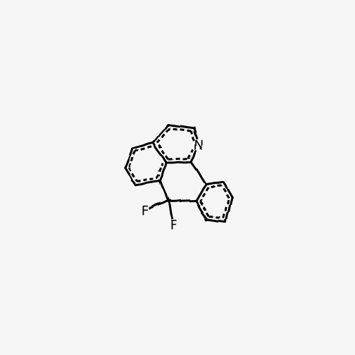 FC1(F)c2ccccc2-c2nccc3cccc1c23